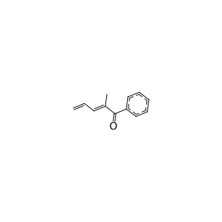 C=C/C=C(\C)C(=O)c1ccccc1